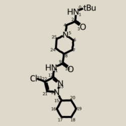 CC(C)(C)NC(=O)CN1CCC(C(=O)Nc2nn(C3CCCCC3)cc2Cl)CC1